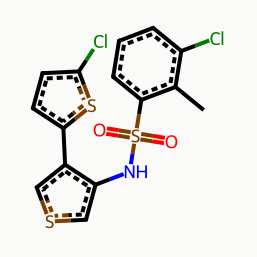 Cc1c(Cl)cccc1S(=O)(=O)Nc1cscc1-c1ccc(Cl)s1